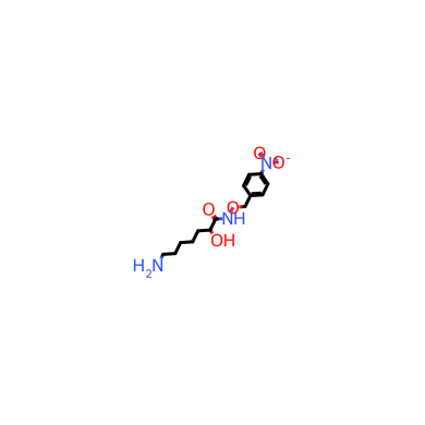 NCCCCCC(O)C(=O)NOCc1ccc([N+](=O)[O-])cc1